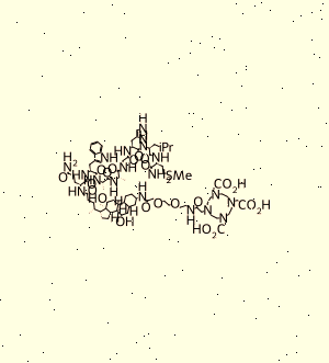 CSCC[C@H](NC(=O)[C@H](CC(C)C)NC(=O)[C@H](Cc1c[nH]cn1)NC(=O)CNC(=O)[C@H](C)NC(=O)[C@H](C)NC(=O)[C@H](Cc1c[nH]c2ccccc12)NC(=O)[C@H](CCC(N)=O)NC(=O)CC[C@@H](C)[C@H]1CC[C@H]2[C@@H]3[C@H](O)C[C@@H]4C[C@@H](NC(=O)COCCOCCNC(=O)CN5CCN(CC(=O)O)CCN(CC(=O)O)CCN(CC(=O)O)CC5)CC[C@]4(C)[C@H]3C[C@H](O)[C@]12C)C(N)=O